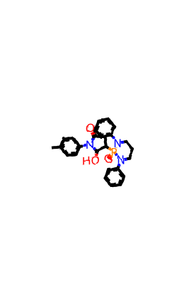 Cc1ccc(N2C(=O)CC(P3(=O)N(c4ccccc4)CCCN3c3ccccc3)C2O)cc1